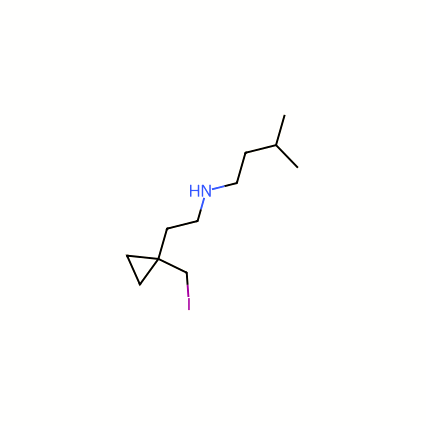 CC(C)CCNCCC1(CI)CC1